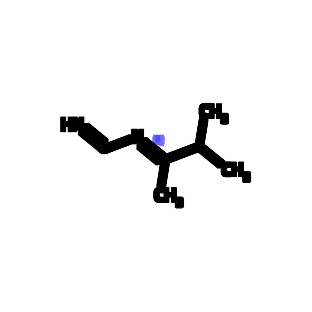 C/C(=N\C=N)C(C)C